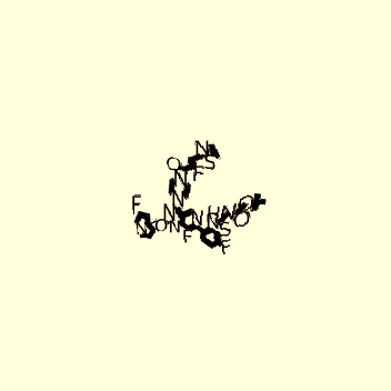 CC(C)(C)OC(=O)Nc1nc2c(-c3ncc4c(N5CCN(C(=O)/C(F)=C/c6nccs6)CC5)nc(OC[C@@]56CCCN5C[C@H](F)C6)nc4c3F)ccc(F)c2s1